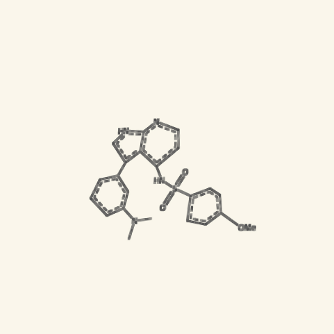 COc1ccc(S(=O)(=O)Nc2ccnc3[nH]cc(-c4cccc(N(C)C)c4)c23)cc1